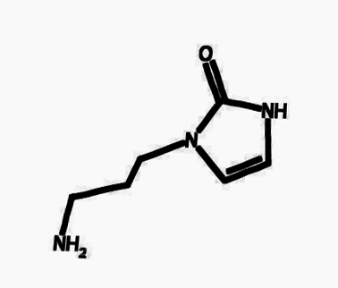 NCCCn1cc[nH]c1=O